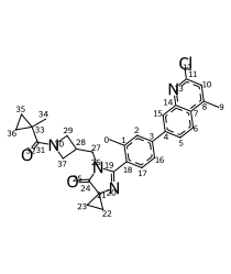 Cc1cc(-c2ccc3c(C)cc(Cl)nc3c2)ccc1C1=NC2(CC2)C(=O)N1CC1CN(C(=O)C2(C)CC2)C1